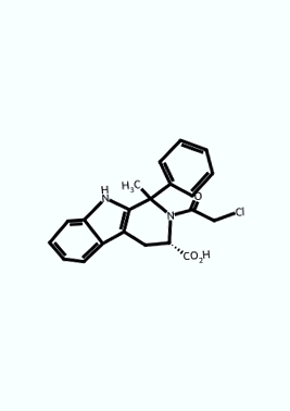 CC1(c2ccccc2)c2[nH]c3ccccc3c2C[C@@H](C(=O)O)N1C(=O)CCl